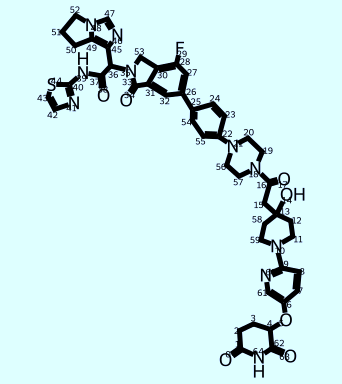 O=C1CCC(Oc2ccc(N3CCC(O)(CC(=O)N4CCN(c5ccc(-c6cc(F)c7c(c6)C(=O)N(C(C(=O)Nc6nccs6)c6ncn8c6CCC8)C7)cc5)CC4)CC3)nc2)C(=O)N1